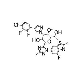 CO[C@H]1C(C(C)O)O[C@@H](c2nc(C)nn2-c2cc(F)c3nc(C)sc3c2)C(O)C1n1cc(-c2ccc(Cl)c(F)c2F)cn1